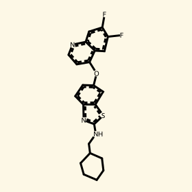 Fc1cc2nccc(Oc3ccc4nc(NCC5CCCCC5)sc4c3)c2cc1F